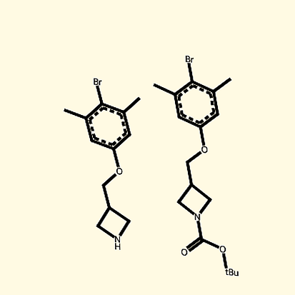 Cc1cc(OCC2CN(C(=O)OC(C)(C)C)C2)cc(C)c1Br.Cc1cc(OCC2CNC2)cc(C)c1Br